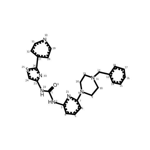 O=C(Nc1cccc(N2CCN(Cc3ccccc3)CC2)n1)Nc1csc(-c2ccncc2)n1